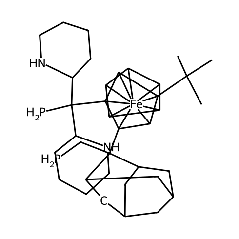 CC(C)(C)[C]12[CH]3[C]4(C(P)(C5CCCCN5)C5CCCCN5)[C]5(C6(CP)C7CC8CC(C7)CC6C8)[CH]1[Fe]32451678[CH]2[CH]1[CH]6[CH]7[CH]28